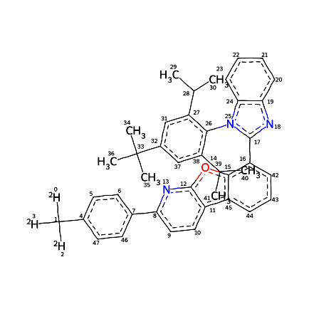 [2H]C([2H])([2H])c1ccc(-c2ccc3c(n2)oc2c(-c4nc5ccccc5n4-c4c(C(C)C)cc(C(C)(C)C)cc4C(C)C)cccc23)cc1